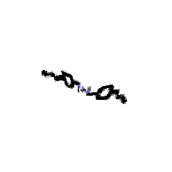 C=CCCc1ccc(/C=N/N=C/c2ccc(CCC=C)cc2)cc1